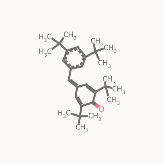 CC(C)(C)C1=CC(=Cc2cc(C(C)(C)C)[c]c(C(C)(C)C)c2)C=C(C(C)(C)C)C1=O